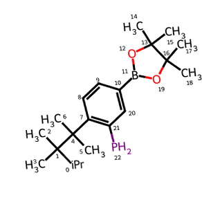 CC(C)C(C)(C)C(C)(C)c1ccc(B2OC(C)(C)C(C)(C)O2)cc1P